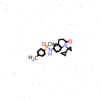 COP(=O)(Nc1ccc2c(c1)CCC(=O)N2C1(C2CC2)CC1)c1ccc(C)cc1